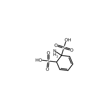 NC1(S(=O)(=O)O)C=CC=CC1S(=O)(=O)O